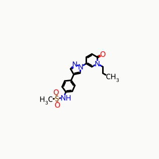 CCCn1cc(-n2cc(-c3ccc(NS(C)(=O)=O)cc3)cn2)ccc1=O